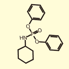 O=P(NC1CCCCC1)(Oc1ccccc1)Oc1ccccc1